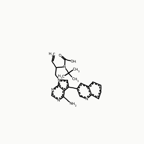 C=CC(Cn1cc(-c2cnc3ccccc3c2)c2c(N)ncnc21)N(C(=O)O)C(C)(C)C